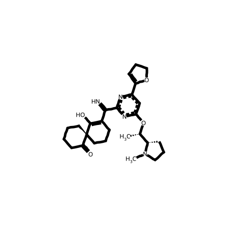 C[C@H](Oc1cc(C2=CCCO2)nc(C(=N)C2=C(O)[C@]3(CCCCC3=O)CCC2)n1)[C@@H]1CCCN1C